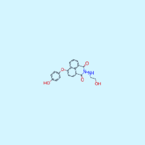 O=C1c2cccc3c(Oc4ccc(O)cc4)ccc(c23)C(=O)N1NCCO